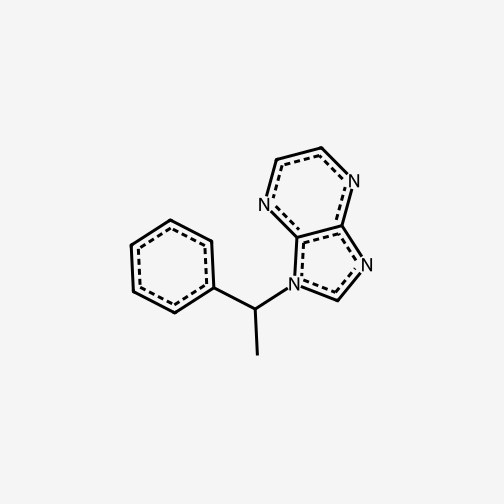 CC(c1ccccc1)n1cnc2nccnc21